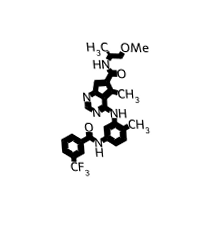 COC[C@H](C)NC(=O)C1=CC2N=CN=C(Nc3cc(NC(=O)c4cccc(C(F)(F)F)c4)ccc3C)C2=C1C